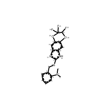 CN(C)c1ccccc1CSc1nc2cc3c(cc2[nH]1)OC(F)C(F)(F)O3